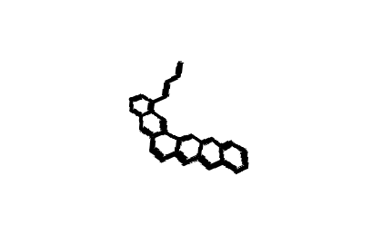 C=CC=Cc1cccc2cc3ccc4cc5cc6ccccc6cc5cc4c3cc12